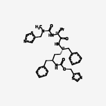 CC(C)[C@H](NC(=O)N(C)Cc1cncs1)C(=O)N[C@@H](CCC(Cc1ccccc1)NC(=O)OCc1cncs1)Cc1ccccc1